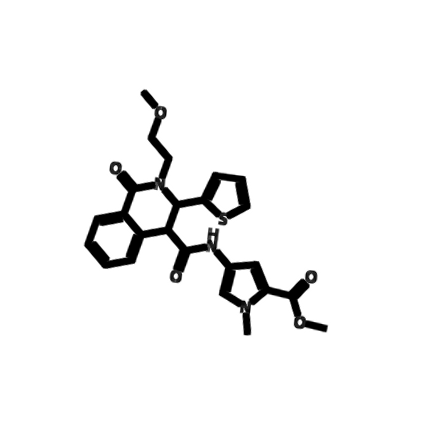 COCCN1C(=O)c2ccccc2C(C(=O)Nc2cc(C(=O)OC)n(C)c2)C1c1cccs1